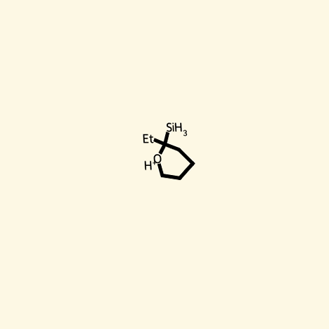 CCC1([SiH3])CCCCO1.[H+]